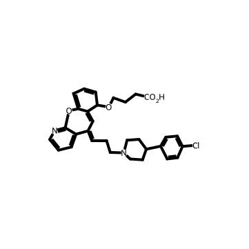 O=C(O)CCCOC1C=CC=C2Oc3ncccc3C(=CCCN3CCC(c4ccc(Cl)cc4)CC3)C=C21